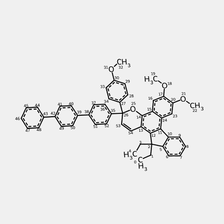 CCC1(CC)c2ccccc2-c2c1c1c(c3cc(OC)c(OC)cc23)OC(c2ccc(OC)cc2)(c2ccc(-c3ccc(-c4ccccc4)cc3)cc2)C=C1